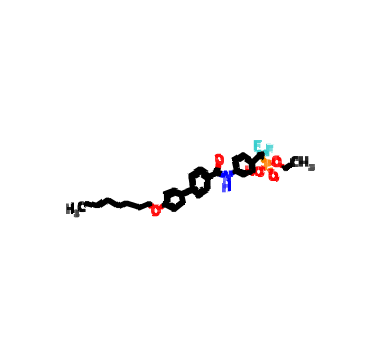 CCCCCCCCOc1ccc(-c2ccc(C(=O)Nc3ccc(C(F)(F)P(=O)(O)OCC)cc3)cc2)cc1